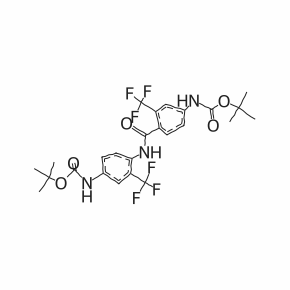 CC(C)(C)OC(=O)Nc1ccc(NC(=O)c2ccc(NC(=O)OC(C)(C)C)cc2C(F)(F)F)c(C(F)(F)F)c1